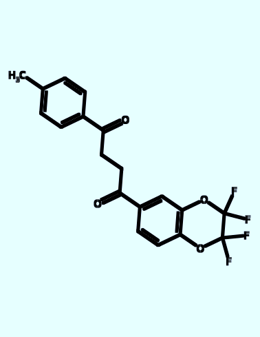 Cc1ccc(C(=O)CCC(=O)c2ccc3c(c2)OC(F)(F)C(F)(F)O3)cc1